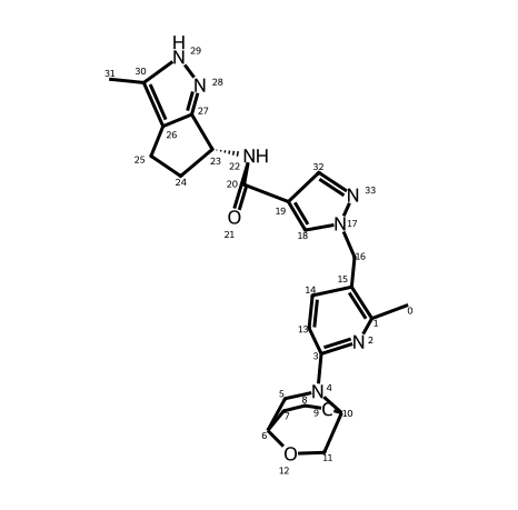 Cc1nc(N2CC3CCCC2CO3)ccc1Cn1cc(C(=O)N[C@@H]2CCc3c2n[nH]c3C)cn1